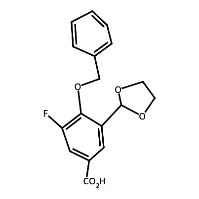 O=C(O)c1cc(F)c(OCc2ccccc2)c(C2OCCO2)c1